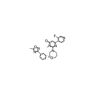 Cc1nc(-c2cccc([C@@H]3CN(c4nc(-c5ccncc5F)cc(=O)n4C)CCCO3)c2)no1